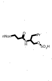 CCCCCCCCCCCC(=O)NC(COS(=O)(=O)O)CC(C)C